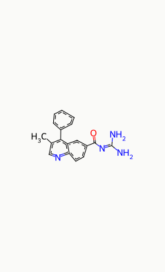 Cc1cnc2ccc(C(=O)N=C(N)N)cc2c1-c1ccccc1